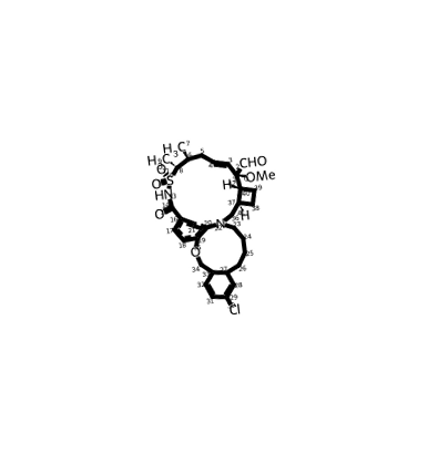 CO[C@]1(C=O)/C=C/C[C@H](C)[C@@H](C)S(=O)(=O)NC(=O)c2ccc3c(c2)N(CCCCC2C=C(Cl)C=CC2CO3)C[C@@H]2CC[C@H]21